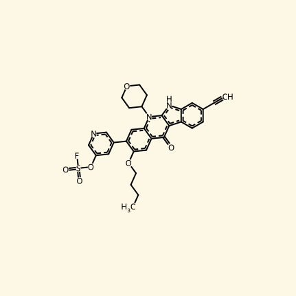 C#Cc1ccc2c(c1)[nH]c1c2c(=O)c2cc(OCCCC)c(-c3cncc(OS(=O)(=O)F)c3)cc2n1C1CCOCC1